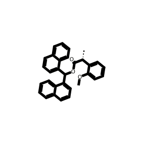 COc1ccccc1[C@@H](C)C(=O)OC(c1cccc2ccccc12)c1cccc2ccccc12